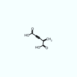 C=C(C#CC(=O)O)C(=O)O